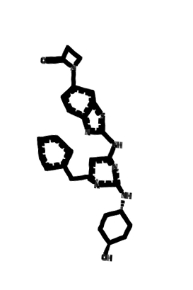 O=C1CCN1c1ccc2nc(Nc3cc(Cc4ccccc4)nc(N[C@H]4CC[C@H](O)CC4)n3)sc2c1